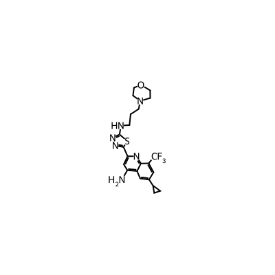 Nc1cc(-c2nnc(NCCCN3CCOCC3)s2)nc2c(C(F)(F)F)cc(C3CC3)cc12